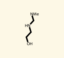 CNCNCCO